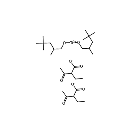 CC(C[O][Ti+2][O]CC(C)CC(C)(C)C)CC(C)(C)C.CCC(C(C)=O)C(=O)[O-].CCC(C(C)=O)C(=O)[O-]